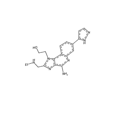 CCNCc1nc2c(N)nc3cc(-c4ccn[nH]4)ccc3c2n1CCO